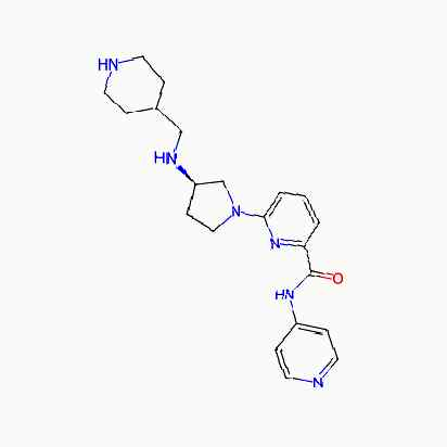 O=C(Nc1ccncc1)c1cccc(N2CC[C@@H](NCC3CCNCC3)C2)n1